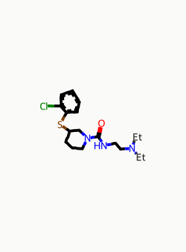 CCN(CC)CCNC(=O)N1CCCC(Sc2ccccc2Cl)C1